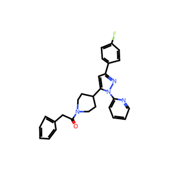 O=C(Cc1ccccc1)N1CCC(c2cc(-c3ccc(F)cc3)nn2-c2ccccn2)CC1